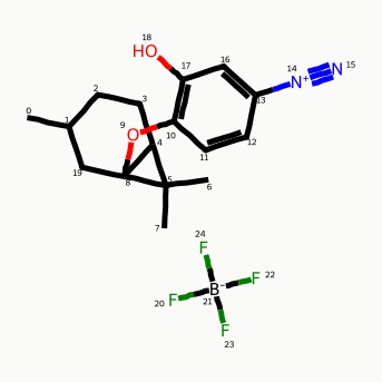 CC1CCC2C(C)(C)C2(Oc2ccc([N+]#N)cc2O)C1.F[B-](F)(F)F